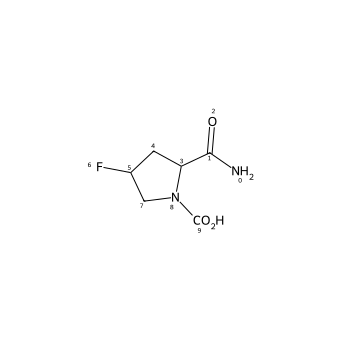 NC(=O)C1CC(F)CN1C(=O)O